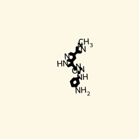 Cn1cc(-c2cnc3[nH]cc(-c4nnc(Nc5cccc(N)c5)o4)c3c2)cn1